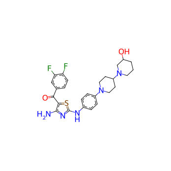 Nc1nc(Nc2ccc(N3CCC(N4CCCC(O)C4)CC3)cc2)sc1C(=O)c1ccc(F)c(F)c1